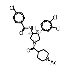 CC(=O)N1CCC(C(=O)N2C[C@@H](NC(=O)c3ccc(Cl)cc3)[C@H](c3ccc(Cl)c(Cl)c3)C2)CC1